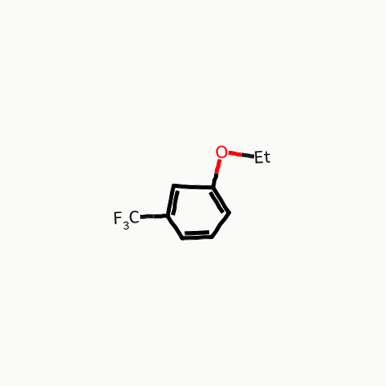 CCOc1cccc(C(F)(F)F)c1